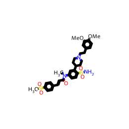 COc1ccc(CCN2CCC(c3cc(N(C)C(=O)C=Cc4ccc(S(C)(=O)=O)cc4)ccc3S(N)(=O)=O)CC2)cc1OC